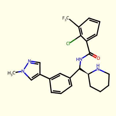 Cn1cc(-c2cccc(C(NC(=O)c3cccc(C(F)(F)F)c3Cl)[C@@H]3CCCCN3)c2)cn1